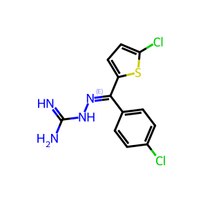 N=C(N)N/N=C(\c1ccc(Cl)cc1)c1ccc(Cl)s1